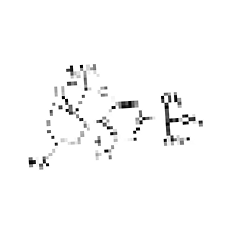 CCCCCCC(C)(C)c1cc(O)c2c(c1)OC(C)(C)[C@H]1CCC(C)=C[C@H]21